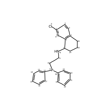 Clc1ccc2c(n1)C(NCCP(c1ccccc1)c1ccccc1)CCC2